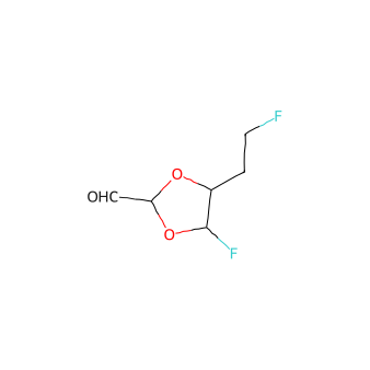 O=CC1OC(F)C(CCF)O1